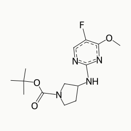 COc1nc(NC2CCN(C(=O)OC(C)(C)C)C2)ncc1F